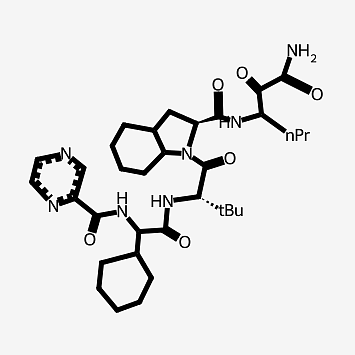 CCCC(NC(=O)[C@@H]1CC2CCCCC2N1C(=O)[C@@H](NC(=O)C(NC(=O)c1cnccn1)C1CCCCC1)C(C)(C)C)C(=O)C(N)=O